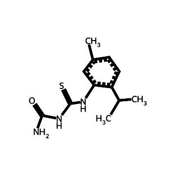 Cc1ccc(C(C)C)c(NC(=S)NC(N)=O)c1